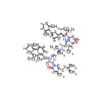 CCOC(=O)C[C@H](NC(=O)C(CC(C)C)n1cc(CCN(C)C)c(C(F)(F)F)cc1=O)c1cc(-c2c(C)cccc2C)cc(F)c1F.Cc1cccc(C)c1-c1cc(F)c(F)c([C@H](CC(=O)O)NC(=O)C(CC(C)C)n2cc(CCN(C)C)c(C(F)(F)F)cc2=O)c1